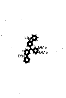 CCn1c2ccccc2c2cc(C(c3ccc(OC)c(OC)c3)c3ccc4c(c3)c3ccccc3n4CC)ccc21